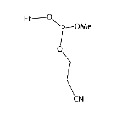 CCOP(OC)OCCC#N